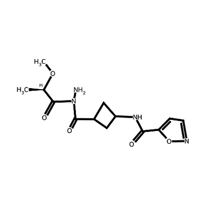 CO[C@H](C)C(=O)N(N)C(=O)C1CC(NC(=O)c2ccno2)C1